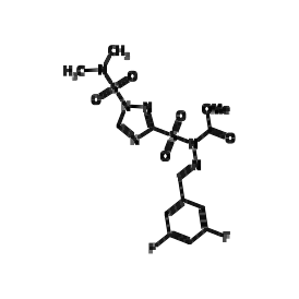 COC(=O)N(/N=C/c1cc(F)cc(F)c1)S(=O)(=O)c1ncn(S(=O)(=O)N(C)C)n1